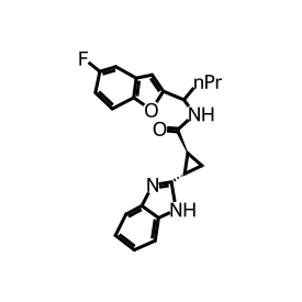 CCCC(NC(=O)[C@H]1C[C@@H]1c1nc2ccccc2[nH]1)c1cc2cc(F)ccc2o1